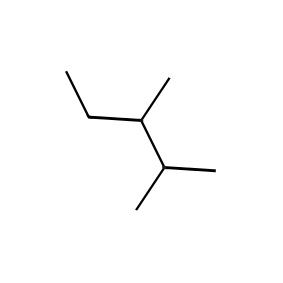 [CH2]C(C)C(C)[CH]C